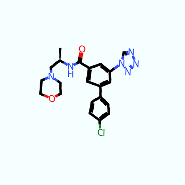 C[C@H](CN1CCOCC1)NC(=O)c1cc(-c2ccc(Cl)cc2)cc(-n2cnnn2)c1